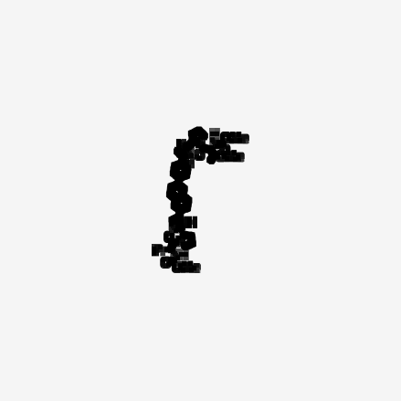 COC(=O)N[C@H](C(=O)N1CCC[C@H]1c1ncc(-c2ccc3cc(-c4ccc(-c5cnc(C6CCCN6C(=O)[C@@H](NC(=O)OC)[C@@H](C)OC)[nH]5)cc4)ccc3c2)[nH]1)C(C)C